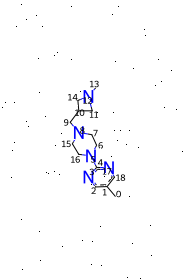 Cc1cnc(N2CCN(CC3CN(C)C3)CC2)nc1